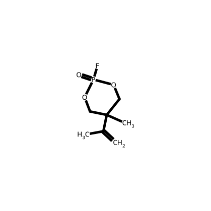 C=C(C)C1(C)COP(=O)(F)OC1